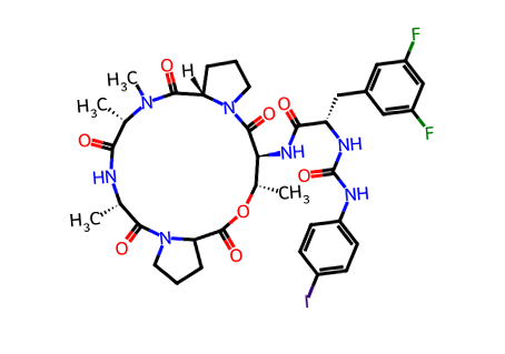 C[C@@H]1NC(=O)[C@H](C)N(C)C(=O)[C@@H]2CCCN2C(=O)[C@@H](NC(=O)[C@H](Cc2cc(F)cc(F)c2)NC(=O)Nc2ccc(I)cc2)[C@H](C)OC(=O)C2CCCN2C1=O